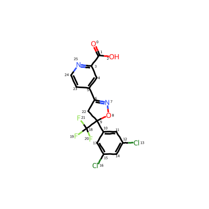 O=C(O)c1cc(C2=NOC(c3cc(Cl)cc(Cl)c3)(C(F)(F)F)C2)ccn1